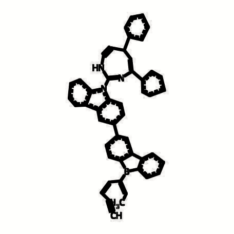 C#C/C=C\C(=C/C)B1c2ccccc2-c2cc(-c3ccc4c(c3)c3ccccc3n4/C3=N/C(c4ccccc4)=C\C(c4ccccc4)C#CN3)ccc21